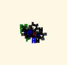 O=C(c1ccccc1-n1nccn1)N1[C@@H]2CC[C@H]1[C@H](Nc1ncc(C(F)(F)F)cc1F)C2